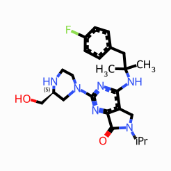 CC(C)N1Cc2c(NC(C)(C)Cc3ccc(F)cc3)nc(N3CCN[C@H](CO)C3)nc2C1=O